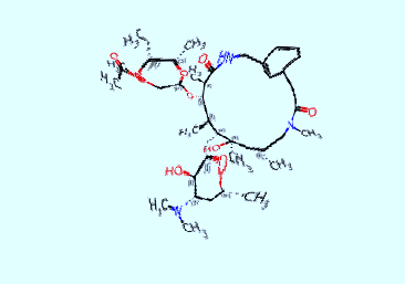 COC[C@H](O[C@H]1[C@H](C)[C@@H](C[C@@H]2O[C@H](C)C[C@H](N(C)C)[C@H]2O)[C@](C)(O)C[C@@H](C)CN(C)C(=O)Cc2cccc(c2)CNC(=O)[C@@H]1C)O[C@@H](C)[C@@H](C)OC(C)=O